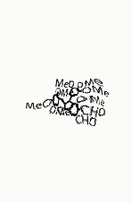 COc1cc(OC)c(OC)cc1/C=C1\C(=O)c2cc(C=O)c(C=O)c(OC)c2C1c1cc(OC)c(OC)c(OC)c1